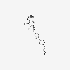 C=CCCC1CCC(C2CCC(COc3ccc(OCCCC)c(F)c3F)CO2)CC1